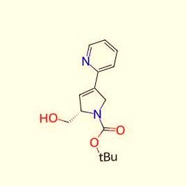 CC(C)(C)OC(=O)N1CC(c2ccccn2)=C[C@H]1CO